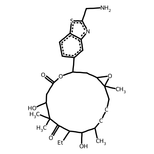 CCC1C(=O)C(C)(C)C(O)CC(=O)OC(c2ccc3sc(CN)nc3c2)CC2OC2(C)CCCC(C)C1O